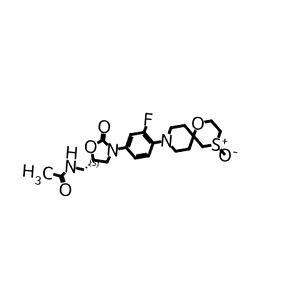 CC(=O)NC[C@H]1CN(c2ccc(N3CCC4(CC3)C[S+]([O-])CCO4)c(F)c2)C(=O)O1